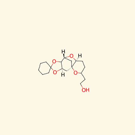 OCCC1CC[C@@H]2O[C@@H]3C[C@]2(C[C@H]2OC4(CCCCC4)OC32)O1